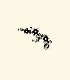 Cc1c(NC(=O)c2ccc(C(C)(C)C)o2)cccc1-c1nc(N)nc(Nc2ccc(C(=O)N3CCOCC3)cc2)n1